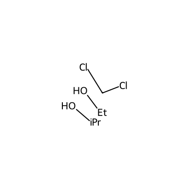 CC(C)O.CCO.ClCCl